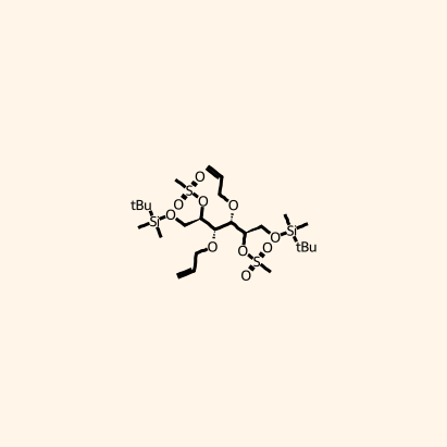 C=CCO[C@@H]([C@H](OCC=C)[C@@H](CO[Si](C)(C)C(C)(C)C)OS(C)(=O)=O)[C@@H](CO[Si](C)(C)C(C)(C)C)OS(C)(=O)=O